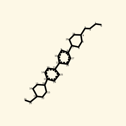 CCCCC1CCC(c2ccc(-c3ccc(C4CCC(CC)CC4)cc3)cc2)CC1